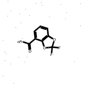 CCCC(=O)c1cccc2c1OC(F)(F)O2